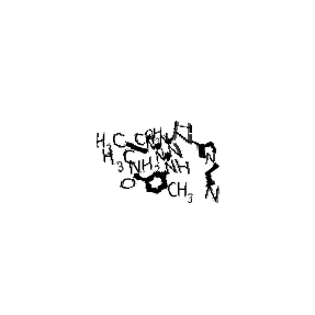 Cc1ccc(C(N)=O)cc1Nc1nc(N[C@H]2CCN(CCC#N)C2)nc(N(C)CC(C)(C)C)n1